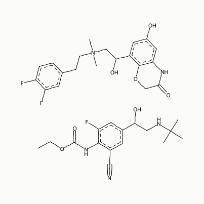 CCOC(=O)Nc1c(F)cc(C(O)CNC(C)(C)C)cc1C#N.C[N+](C)(CCc1ccc(F)c(F)c1)CC(O)c1cc(O)cc2c1OCC(=O)N2